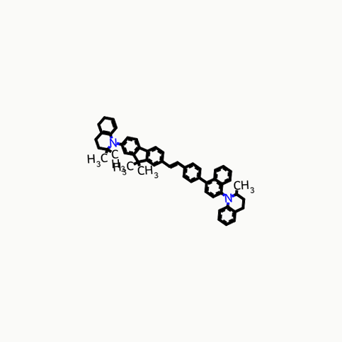 CC1CCc2ccccc2N1c1ccc(-c2ccc(/C=C/c3ccc4c(c3)C(C)(C)c3cc(N5C6=C(CCC=C6)CCC5(C)C)ccc3-4)cc2)c2ccccc12